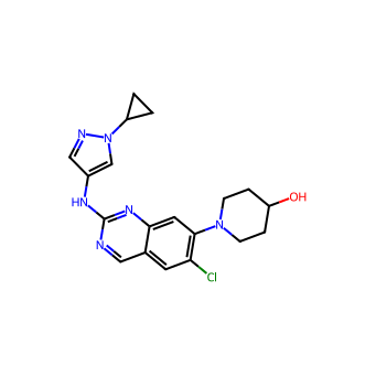 OC1CCN(c2cc3nc(Nc4cnn(C5CC5)c4)ncc3cc2Cl)CC1